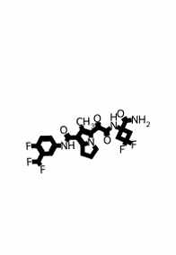 Cc1c(C(=O)Nc2ccc(F)c(C(F)F)c2)c2n(c1C(=O)C(=O)NC1(C(N)=O)CC(F)(F)C1)CCC2